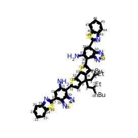 CCCCC(CC)CC1(CC(CC)CCCC)c2cc(-c3c(N)cc(-c4nc5ccccc5s4)c4nsnc34)sc2-c2sc(-c3c(N)cc(-c4nc5ccccc5s4)c4nsnc34)cc21